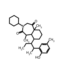 CCC(C(C)c1cc(C)ccc1O)C1CCCC2(C)C(=O)CN(C3CCCCC3)C(=O)C(C)C12